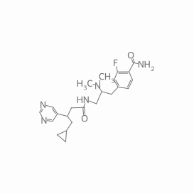 CN(C)C(CNC(=O)CC(CC1CC1)c1cncnc1)Cc1ccc(C(N)=O)c(F)c1